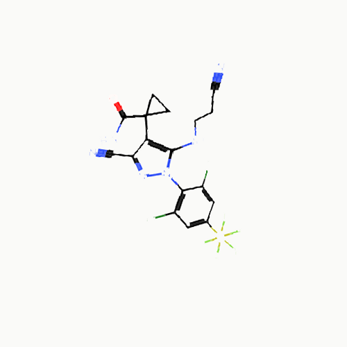 N#CCCNc1c(C2(C(N)=O)CC2)c(C#N)nn1-c1c(Cl)cc(S(F)(F)(F)(F)F)cc1Cl